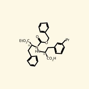 CCOC(=O)[C@H](Cc1ccccc1)N(N[C@@H](Cc1cccc(C(C)C)c1)C(=O)O)C(=O)OCc1ccccc1